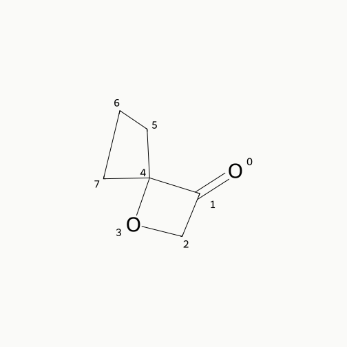 O=C1COC12CCC2